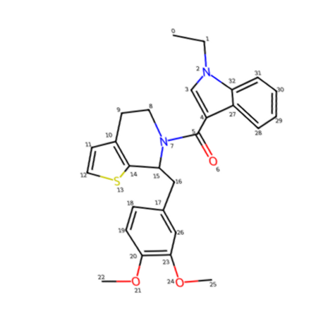 CCn1cc(C(=O)N2CCc3ccsc3C2Cc2ccc(OC)c(OC)c2)c2ccccc21